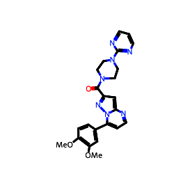 COc1ccc(-c2ccnc3cc(C(=O)N4CCN(c5ncccn5)CC4)nn23)cc1OC